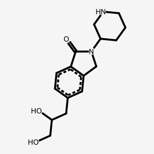 O=C1c2ccc(CC(O)CO)cc2CN1C1CCCNC1